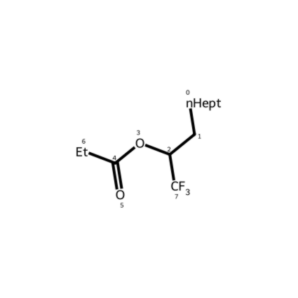 CCCCCCCCC(OC(=O)CC)C(F)(F)F